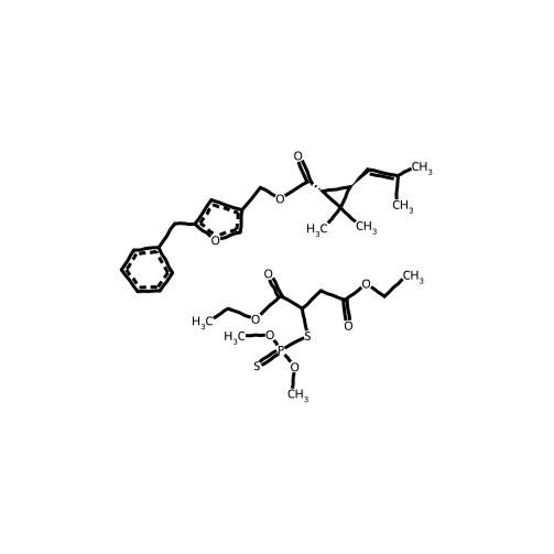 CC(C)=C[C@@H]1[C@@H](C(=O)OCc2coc(Cc3ccccc3)c2)C1(C)C.CCOC(=O)CC(SP(=S)(OC)OC)C(=O)OCC